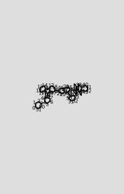 c1ccc(-c2cccc(-n3c4ccccc4c4ccc(-c5ccc6c(ccc7c6c6ccccc6n7-c6ncc7ccccc7n6)c5)cc43)c2)cc1